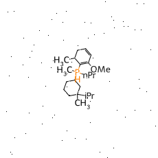 CCC[PH](C)(C1=C(OC)C=CCC1C)C1CCCC(C)(C(C)C)C1